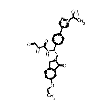 CCOc1ccc2c(c1)C(=O)N(C[C@H](NC(=O)NC=O)c1ccc(-c3cnn(C(C)C)c3)cc1)C2